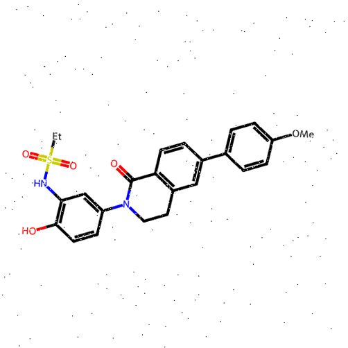 CCS(=O)(=O)Nc1cc(N2CCc3cc(-c4ccc(OC)cc4)ccc3C2=O)ccc1O